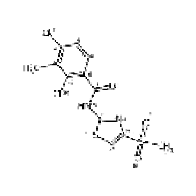 Cc1c(Cl)ccc(C(=O)Nc2nc(S(C)(=O)=O)cs2)c1Cl